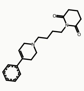 O=C1CCCC(=O)N1CCCCN1CC=C(c2ccccc2)CC1